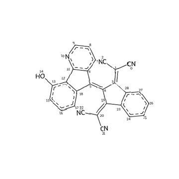 N#CC(C#N)=C1C(=C2c3cccnc3-c3c(O)cccc32)C(=C(C#N)C#N)c2ccccc21